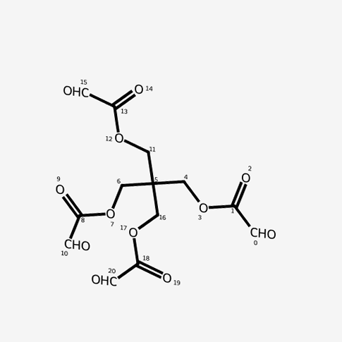 O=CC(=O)OCC(COC(=O)C=O)(COC(=O)C=O)COC(=O)C=O